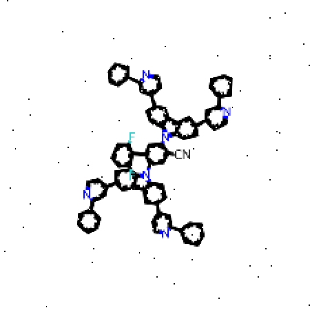 N#Cc1cc(-n2c3ccc(-c4ccnc(-c5ccccc5)c4)cc3c3cc(-c4ccnc(-c5ccccc5)c4)ccc32)c(-c2c(F)cccc2F)cc1-n1c2ccc(-c3ccnc(-c4ccccc4)c3)cc2c2cc(-c3ccnc(-c4ccccc4)c3)ccc21